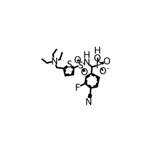 CC[N+](CC)(CC)Cc1ccc(S(=O)(=O)NC(c2ccc(C#N)c(F)c2)P(=O)([O-])O)s1